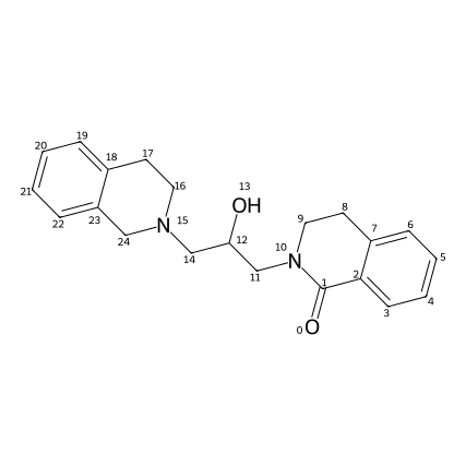 O=C1c2ccccc2CCN1CC(O)CN1CCc2ccccc2C1